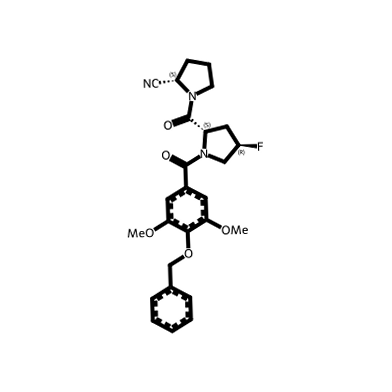 COc1cc(C(=O)N2C[C@H](F)C[C@H]2C(=O)N2CCC[C@H]2C#N)cc(OC)c1OCc1ccccc1